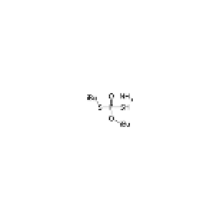 CCC(C)OP(=O)(S)SC(C)CC.N